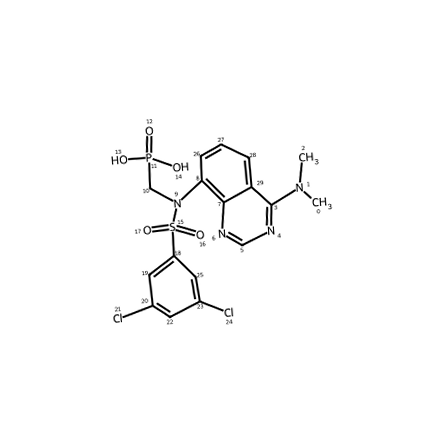 CN(C)c1ncnc2c(N(CP(=O)(O)O)S(=O)(=O)c3cc(Cl)cc(Cl)c3)cccc12